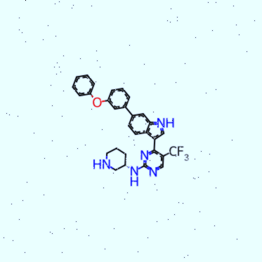 FC(F)(F)c1cnc(N[C@H]2CCCNC2)nc1-c1c[nH]c2cc(-c3cccc(Oc4ccccc4)c3)ccc12